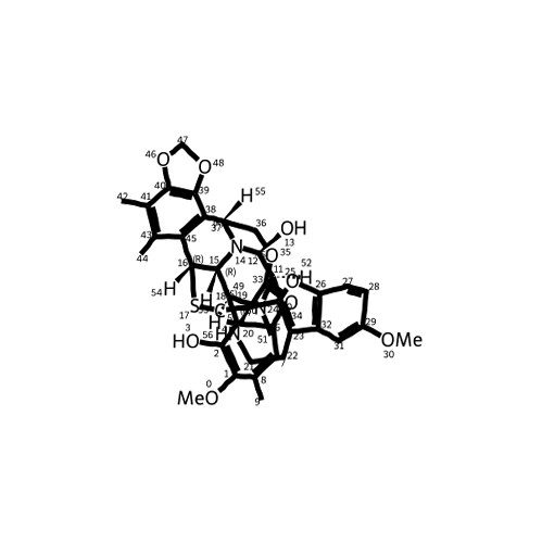 COC1=C(O)C2(C)C(C=C1C)C[C@@H]1[C@H](O)N3[C@@H]([C@@H]4SC[C@]5(NCCc6c5oc5ccc(OC)cc65)C(=O)OC[C@H]3c3c5c(c(C)c(C)c34)OCO5)[C@H]2N1C